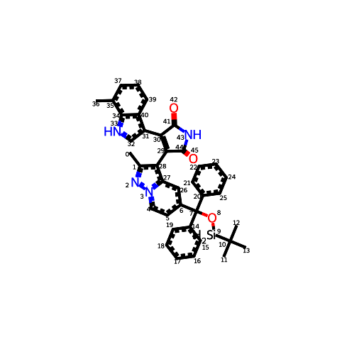 Cc1nn2ccc(C(O[SiH2]C(C)(C)C)(c3ccccc3)c3ccccc3)cc2c1C1=C(c2c[nH]c3c(C)cccc23)C(=O)NC1=O